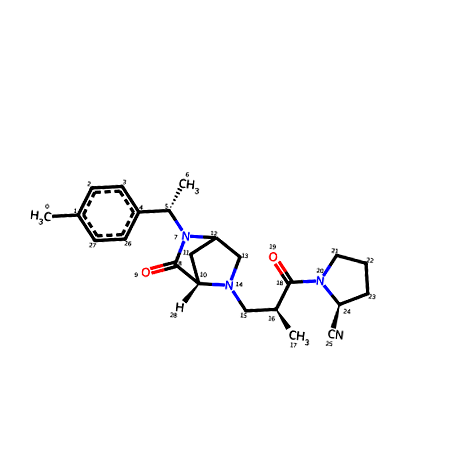 Cc1ccc([C@H](C)N2C(=O)[C@@H]3CC2CN3C[C@H](C)C(=O)N2CCC[C@H]2C#N)cc1